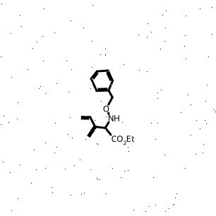 C=CC(=C)C(NOCc1ccccc1)C(=O)OCC